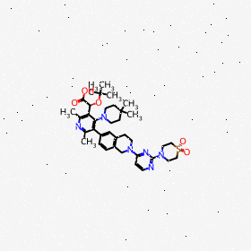 Cc1nc(C)c([C@H](OC(C)(C)C)C(=O)O)c(N2CCC(C)(C)CC2)c1-c1ccc2c(c1)CCN(c1ccnc(N3CCS(=O)(=O)CC3)n1)C2